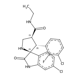 CCNC(=O)[C@@H]1CN[C@@]2(C(=O)Nc3cc(Cl)ccc32)[C@H]1c1cccc(Cl)c1F